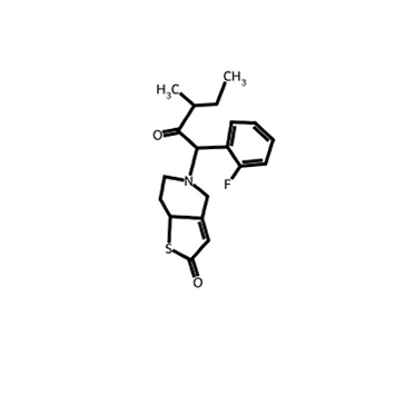 CCC(C)C(=O)C(c1ccccc1F)N1CCC2SC(=O)C=C2C1